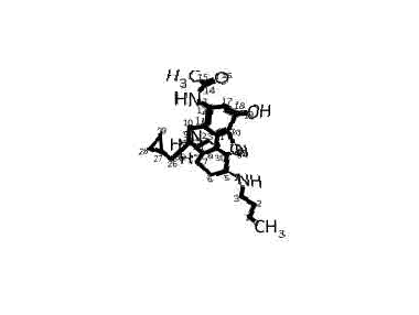 CCCCN[C@H]1CC[C@H]2[C@H]3Cc4c(NC(C)=O)cc(O)c5c4[C@@]2(CCN3CC2CC2)[C@H]1O5